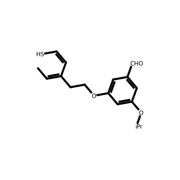 C/C=C(\C=C/S)CCOc1cc(C=O)cc(OC(C)C)c1